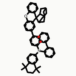 CC1(C)CCC(C)(C)c2cc(N(c3ccc(-c4ccc5c(c4)C4(c6ccccc6O5)C5CC6CC(C5)C4C6)cc3)c3ccccc3-c3ccccc3)ccc21